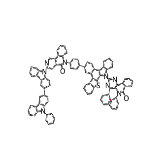 O=c1c2cc(-n3c4ccccc4c4cc(-c5ccc6c(c5)c5ccccc5n6-c5ccccc5)ccc43)ncc2c2ccccc2n1-c1ccc(-c2ccc3c(c2)c2c4ccccc4sc2c2c3c3ccccc3n2-c2nc(-c3ccccc3)c3c(n2)c2ccccc2c(=O)n3-c2ccccc2)cc1